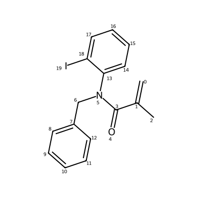 C=C(C)C(=O)N(Cc1ccccc1)c1ccccc1I